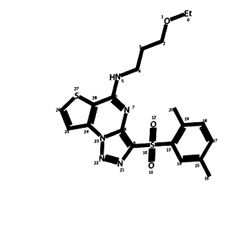 CCOCCCNc1nc2c(S(=O)(=O)c3cc(C)ccc3C)nnn2c2ccsc12